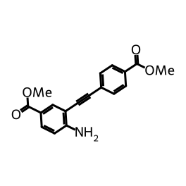 COC(=O)c1ccc(C#Cc2cc(C(=O)OC)ccc2N)cc1